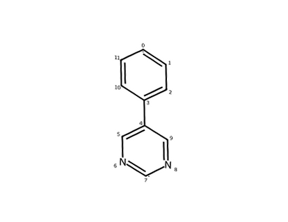 [c]1ccc(-c2cn[c]nc2)cc1